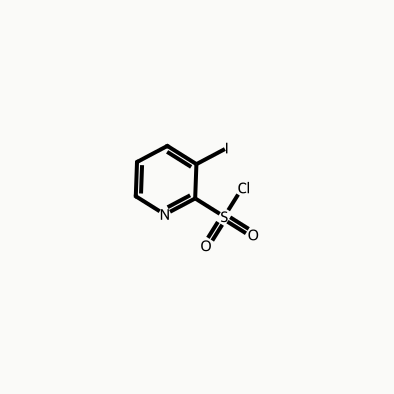 O=S(=O)(Cl)c1ncccc1I